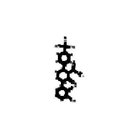 NC(=O)C1C(=O)N(c2cccc(F)c2F)CCC1c1ccc(C(F)(F)F)cc1